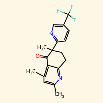 Cc1cc(C)c2c(n1)CCC(C)(c1ccc(C(F)(F)F)cn1)C2=O